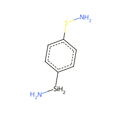 N[SiH2]c1ccc(SN)cc1